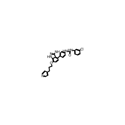 Nc1n[nH]c2c(OCCCc3ccncc3)ccc(-c3ccc(NC(=O)Nc4cccc(Cl)c4)cc3)c12